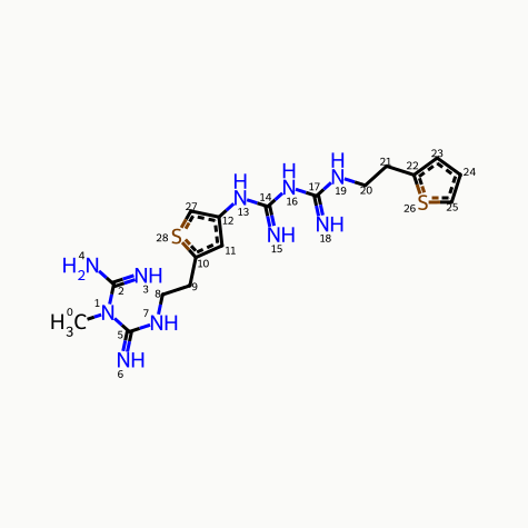 CN(C(=N)N)C(=N)NCCc1cc(NC(=N)NC(=N)NCCc2cccs2)cs1